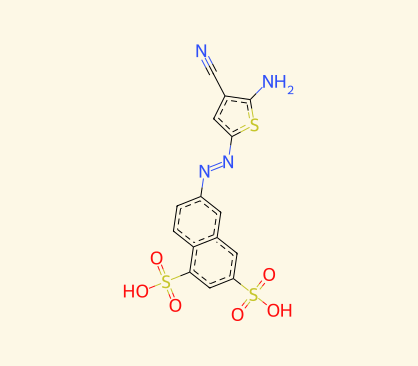 N#Cc1cc(N=Nc2ccc3c(S(=O)(=O)O)cc(S(=O)(=O)O)cc3c2)sc1N